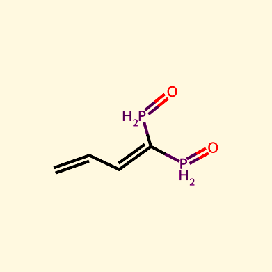 C=CC=C([PH2]=O)[PH2]=O